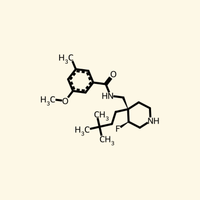 COc1cc(C)cc(C(=O)NC[C@@]2(CCC(C)(C)C)CCNC[C@H]2F)c1